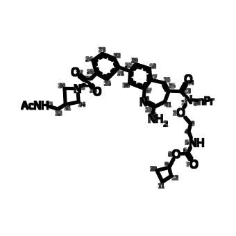 CCCN(OCCNC(=O)OC1CCC1)C(=O)C1=Cc2ccc(-c3cccc(S(=O)(=O)N4CC(CNC(C)=O)C4)c3)cc2N=C(N)C1